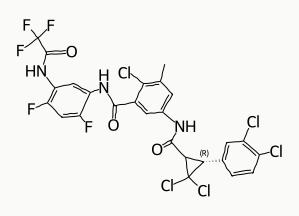 Cc1cc(NC(=O)C2[C@H](c3ccc(Cl)c(Cl)c3)C2(Cl)Cl)cc(C(=O)Nc2cc(NC(=O)C(F)(F)F)c(F)cc2F)c1Cl